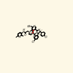 CCOc1cc(C(C)(C)C)ncc1C1=N[C@@](C)(C2C=CC(Cl)=CC2)[C@@](C)(c2ccc(Cl)cc2)N1C(=O)N1CCN(CC(=O)Nc2ccc(C)nc2C)CC1